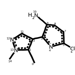 Cc1c(-c2nc(Cl)ccc2N)cnn1C